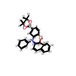 CC1(C)OB(c2ccc3c(c2)N(c2ccccc2)c2ccc4ccccc4c2O3)OC1(C)C